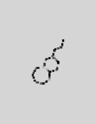 CCCN1CCC2CCCCCC2C1